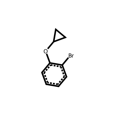 Brc1ccccc1OC1CC1